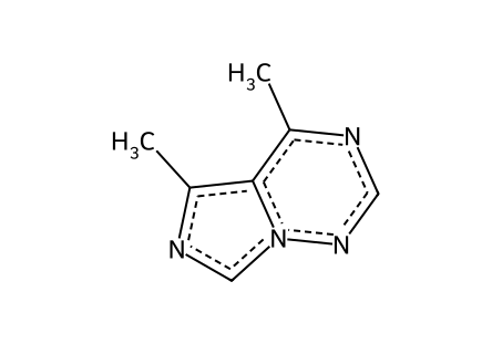 Cc1ncnn2cnc(C)c12